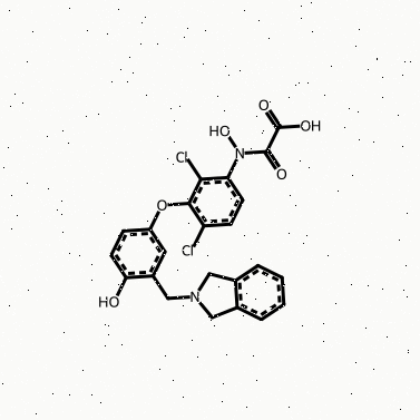 O=C(O)C(=O)N(O)c1ccc(Cl)c(Oc2ccc(O)c(CN3Cc4ccccc4C3)c2)c1Cl